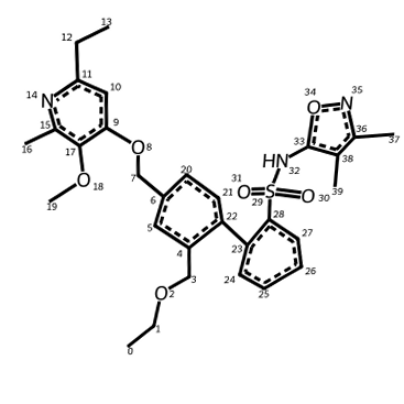 CCOCc1cc(COc2cc(CC)nc(C)c2OC)ccc1-c1ccccc1S(=O)(=O)Nc1onc(C)c1C